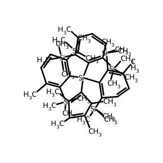 CC1=C(C)C(C)C([Si](c2c([Si](C)(C)C)ccc(C)c2[Si](C)(C)C)(c2c([Si](C)(C)C)ccc(C)c2[Si](C)(C)C)c2c([Si](C)(C)C)ccc(C)c2[Si](C)(C)C)=C1C